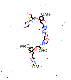 COc1cc(OCc2nc(N3CCOC(COc4nn5cc(-c6cc7c(OCc8nc(N9CCOCC9)sc8CO)cc(OC)cc7o6)nc5s4)C3)sc2C=O)c2cc(-c3cn4nc(OC)sc4n3)oc2c1